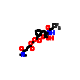 CN(C)C(=O)CCC(=O)OCOC(=O)c1cccc2c1OB(O)[C@@H](NC(=O)CC(F)(F)F)C2